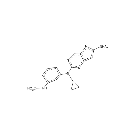 CC(=O)Nc1nc2cnc(N(c3cccc(NC(=O)O)c3)C3CC3)nc2s1